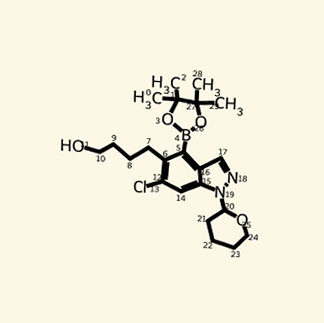 CC1(C)OB(c2c(CCCCO)c(Cl)cc3c2cnn3C2CCCCO2)OC1(C)C